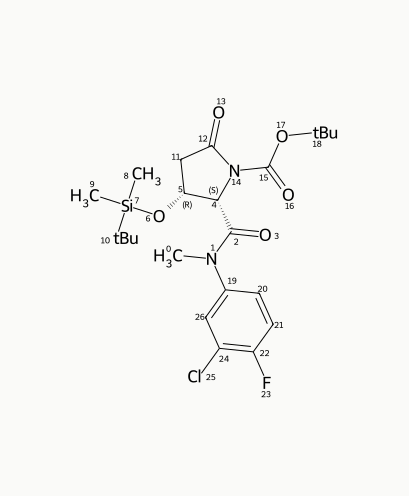 CN(C(=O)[C@@H]1[C@H](O[Si](C)(C)C(C)(C)C)CC(=O)N1C(=O)OC(C)(C)C)c1ccc(F)c(Cl)c1